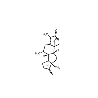 CC1=C2CC(C)[C@@H]3[C@@H](CC[C@]4(C)C(=O)CC[C@@H]34)[C@@]2(CO)CCC1=O